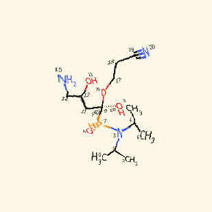 CC(C)N(C(C)C)[PH](=O)[C@@](O)(CC(O)CN)OCCC#N